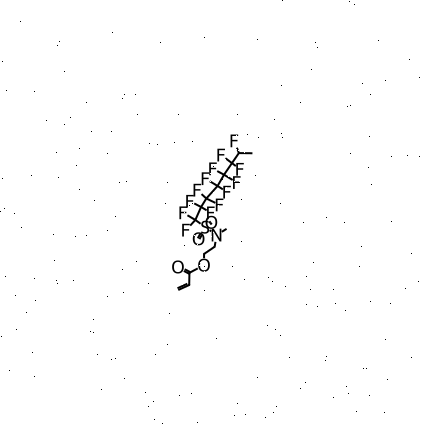 C=CC(=O)OCCN(C)S(=O)(=O)C(F)(F)C(F)(F)C(F)(F)C(F)(F)C(F)(F)C(F)(F)C(C)F